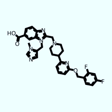 Cn1cncc1Cn1c(CN2CCC(c3cccc(OCc4ccc(F)cc4F)n3)CC2)nc2ccc(C(=O)O)cc21